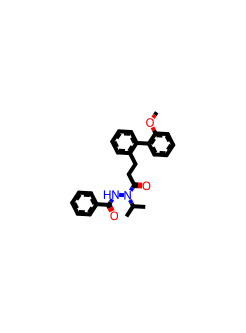 COc1ccccc1-c1ccccc1CCC(=O)N(NC(=O)c1ccccc1)C(C)C